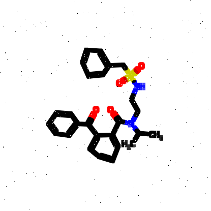 CC(C)N(CCNS(=O)(=O)Cc1ccccc1)C(=O)c1ccccc1C(=O)c1ccccc1